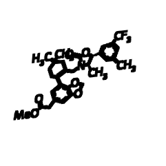 COC(=O)Cc1cc2c(c(C3=C(CN4C(=O)O[C@H](c5cc(C)cc(C(F)(F)F)c5)[C@@H]4C)CC(C)(C)CC3)c1)OCO2